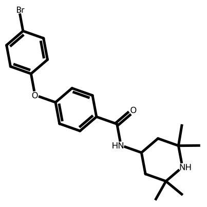 CC1(C)CC(NC(=O)c2ccc(Oc3ccc(Br)cc3)cc2)CC(C)(C)N1